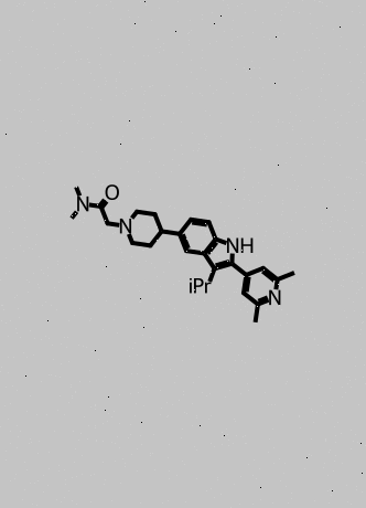 Cc1cc(-c2[nH]c3ccc(C4CCN(CC(=O)N(C)C)CC4)cc3c2C(C)C)cc(C)n1